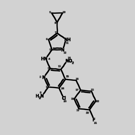 Nc1nc(Nc2cc(C3CC3)[nH]n2)c([N+](=O)[O-])c(Cc2ccc(F)cc2)c1Cl